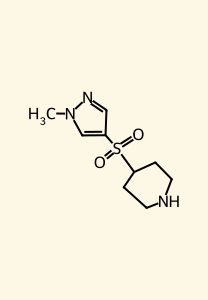 Cn1cc(S(=O)(=O)C2CCNCC2)cn1